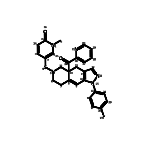 Cn1cc(SN2CCC3=Cc4c(cnn4-c4ccc(F)cc4)CC3(C(=O)c3ccccn3)C2)ccc1=O